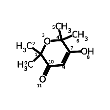 CC1(C)OC(C)(C)C(O)=CC1=O